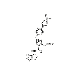 COCc1nn(Cc2cnc(N3CC4C(C3)C4(F)F)nc2C)cc1C(=O)NC1CCc2c(C)n[nH]c21